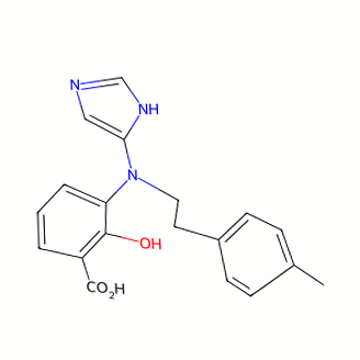 Cc1ccc(CCN(c2cnc[nH]2)c2cccc(C(=O)O)c2O)cc1